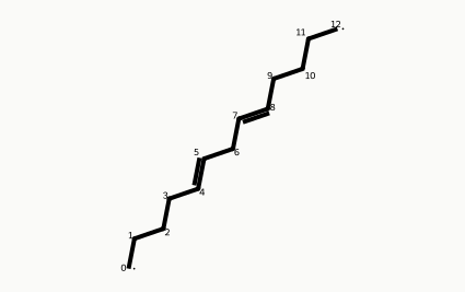 [CH2]CCCC=CCC=CCCC[CH2]